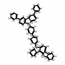 c1ccc(-c2ccc3c(c2)c2cc(-c4ccccc4)ccc2n3-c2ccc(-c3ccc(-n4c5ccccc5c5c6oc7ccccc7c6ccc54)cc3)cc2)cc1